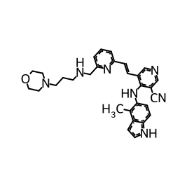 Cc1c(Nc2c(C#N)cncc2/C=C/c2cccc(CNCCCN3CCOCC3)n2)ccc2[nH]ccc12